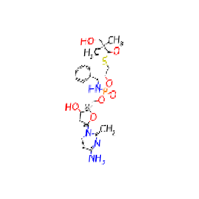 C=C1N=C(N)C=CN1[C@H]1CC(O)[C@H](COP(=O)(NCc2ccccc2)OCCSC(=O)C(C)(C)CO)O1